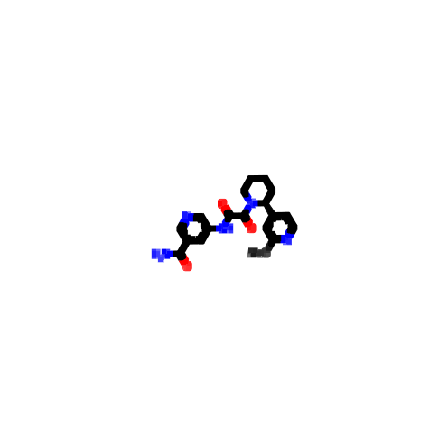 COc1cc([C@@H]2CCCCN2C(=O)C(=O)Nc2cncc(C(N)=O)c2)ccn1